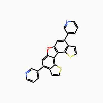 c1cncc(-c2cc3oc4cc(-c5cccnc5)c5ccsc5c4c3c3sccc23)c1